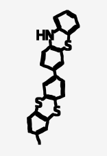 Cc1ccc2c(c1)Sc1ccc(-c3ccc4c(c3)Sc3ccccc3N4)cc1S2